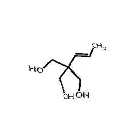 CC=CC(CO)(CO)CO